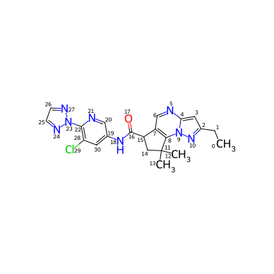 CCc1cc2ncc3c(n2n1)C(C)(C)CC3C(=O)Nc1cnc(-n2nccn2)c(Cl)c1